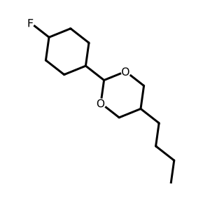 CCCCC1COC(C2CCC(F)CC2)OC1